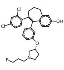 Oc1ccc2c(c1)CCCC(c1ccc(Cl)cc1Cl)=C2c1cccc(O[C@@H]2CCN(CCCF)C2)c1